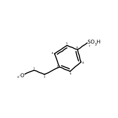 [O]CCc1ccc(S(=O)(=O)O)cc1